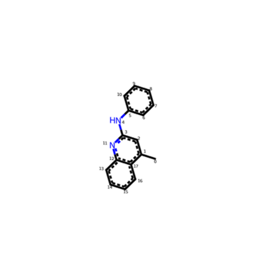 Cc1cc(Nc2ccccc2)nc2ccccc12